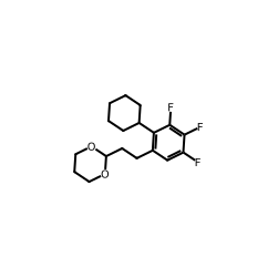 Fc1cc(CCC2OCCCO2)c(C2CCCCC2)c(F)c1F